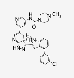 CN1CCN(C(=O)Nc2cncc(C3=CN=C4NN=C(c5cc6c(-c7cccc(Cl)c7)cccc6[nH]5)C4(C)C3)c2)CC1